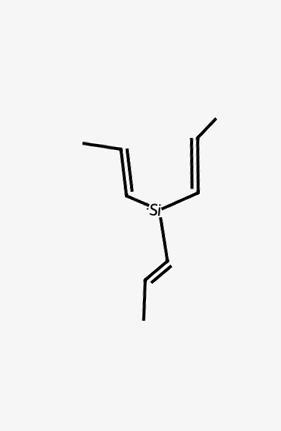 CC=C[Si](C=CC)C=CC